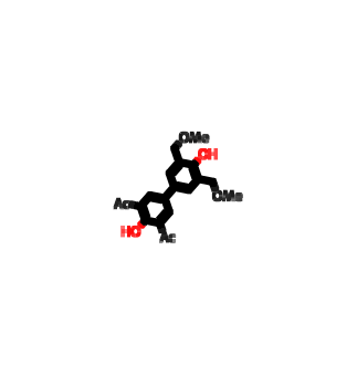 COCc1cc(-c2cc(C(C)=O)c(O)c(C(C)=O)c2)cc(COC)c1O